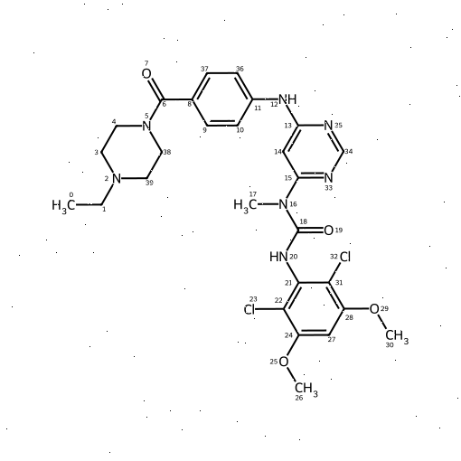 CCN1CCN(C(=O)c2ccc(Nc3cc(N(C)C(=O)Nc4c(Cl)c(OC)cc(OC)c4Cl)ncn3)cc2)CC1